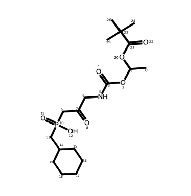 CC(OC(=O)NCC(=O)CP(=O)(O)CC1CCCCC1)OC(=O)C(C)(C)C